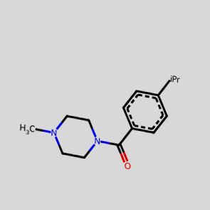 CC(C)c1ccc(C(=O)N2CCN(C)CC2)cc1